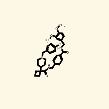 COc1ccc(CNC(=O)c2ccc(CNC(=O)C3(C4CCN(Cc5ccc(Cl)cc5)CC4)CCC3)cc2)cc1OC